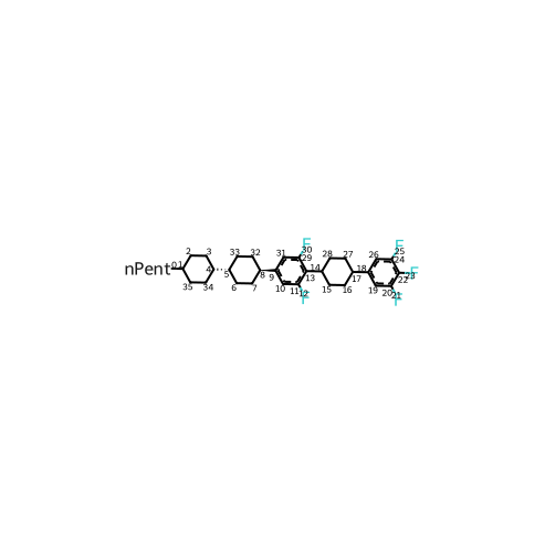 CCCCCC1CCC([C@H]2CC[C@H](c3cc(F)c(C4CCC(c5cc(F)c(F)c(F)c5)CC4)c(F)c3)CC2)CC1